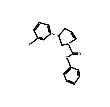 O=C(Oc1ccccc1)N1C=CC[C@@H](c2cccc(F)c2)C1